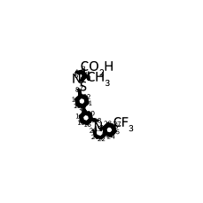 Cn1c(C(=O)O)cnc1SCc1ccc(-c2cccc(CN3CCCc4ccc(C(F)(F)F)cc43)c2)cc1